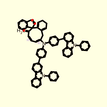 C=C1/C=C\C=C(\N(c2ccc(-c3ccc4c5ccccc5n(-c5ccccc5)c4c3)cc2)c2ccc(-c3cccc4c3c3ccccc3n4-c3ccccc3)cc2)CC2=CCCC=C2C12c1ccccc1-c1ccccc12